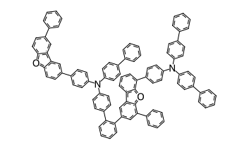 c1ccc(-c2ccc(N(c3ccc(-c4ccc5oc6ccc(-c7ccccc7)cc6c5c4)cc3)c3ccc(-c4ccccc4-c4cc(-c5ccccc5)c5oc6c(-c7ccc(N(c8ccc(-c9ccccc9)cc8)c8ccc(-c9ccccc9)cc8)cc7)cccc6c5c4)cc3)cc2)cc1